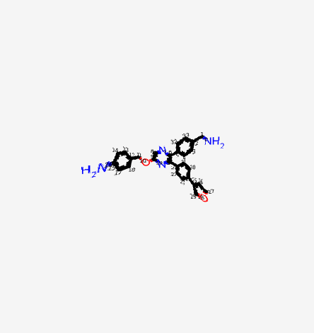 NCc1ccc(-c2ncc(OCc3ccc(N)cc3)nc2-c2ccc(-c3ccoc3)cc2)cc1